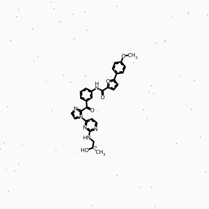 COc1ccc(-c2ccc(C(=O)Nc3cccc(C(=O)c4nccn4-c4ccnc(NC[C@H](C)O)n4)c3)o2)cc1